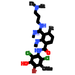 C=NC1=C(/C(=N\C)NCCCN(CC)CC)C(CC)CC=C1C(=O)Nc1c(Cl)c(O)c(Br)c(OC)c1Cl